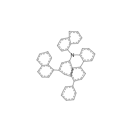 c1ccc(-c2ccc(-c3ccccc3N(c3cccc(-c4cccc5ccccc45)c3)c3cccc4ccccc34)cc2)cc1